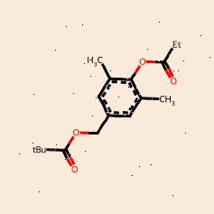 CCC(=O)Oc1c(C)cc(COC(=O)C(C)(C)C)cc1C